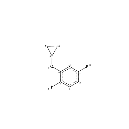 Fc1ccc(I)c(OC2CC2)c1